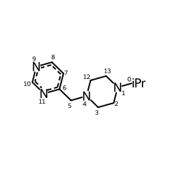 CC(C)N1CCN(Cc2ccncn2)CC1